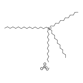 CCCCCCCCCCCCCCCC[N+](CCCCCCCCCCCC)(CCCCCCCCCCCC)CCCCCCCCCCCC.O=[N+]([O-])[O-]